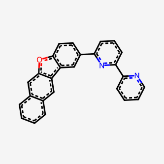 c1ccc(-c2cccc(-c3ccc4oc5cc6ccccc6cc5c4c3)n2)nc1